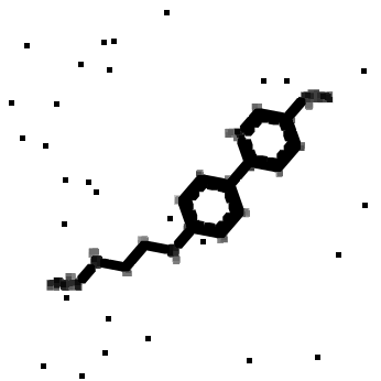 CCCCCCc1ccc(-c2ccc(OCCOCCCCC)cc2)nc1